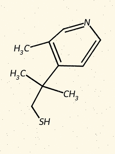 Cc1cnccc1C(C)(C)CS